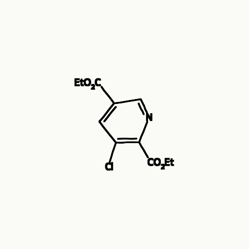 CCOC(=O)c1cnc(C(=O)OCC)c(Cl)c1